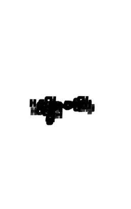 CC(C)[C@@H](C(=O)N1CC2(CCOCC2)CC1c1ncc(-c2ccc(B3OC(C)(C)C(C)(C)O3)cc2)[nH]1)N(C)C(=O)O